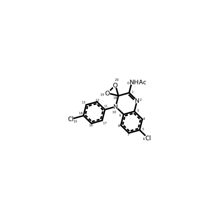 CC(=O)NC1=Nc2cc(Cl)ccc2N(c2ccc(Cl)cc2)C12OO2